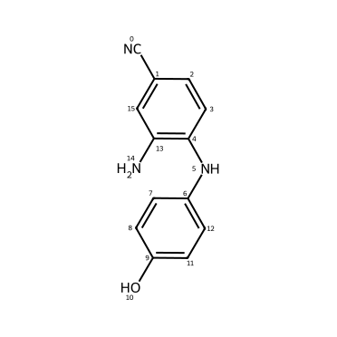 N#Cc1ccc(Nc2ccc(O)cc2)c(N)c1